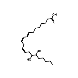 CCCCCC(O)C(O)C/C=C\C/C=C\C=C\CCCCCCC(=O)O